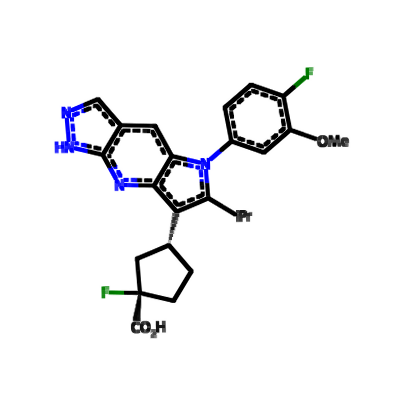 COc1cc(-n2c(C(C)C)c([C@@H]3CC[C@@](F)(C(=O)O)C3)c3nc4[nH]ncc4cc32)ccc1F